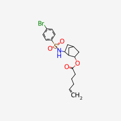 C=CCCCC(=O)OC1CC2CC(NS(=O)(=O)c3ccc(Br)cc3)C1C2